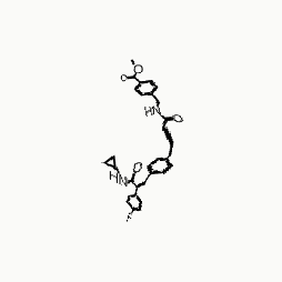 COC(=O)c1ccc(CNC(=O)C=Cc2ccc(C=C(C(=O)NC3CC3)c3ccc(F)cc3)cc2)cc1